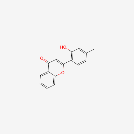 Cc1ccc(-c2cc(=O)c3ccccc3o2)c(O)c1